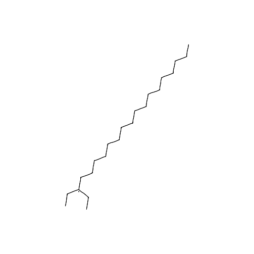 CCCCCCCCCCCCCCCCC[C](CC)CC